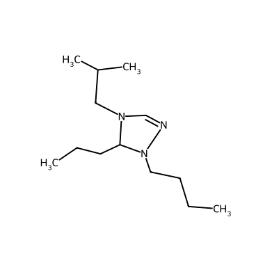 CCCCN1N=CN(CC(C)C)C1CCC